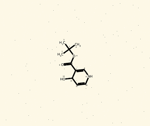 CC(C)(C)OC(=O)C1=CNC=CC1O